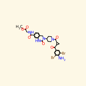 COC(=O)CNC(=O)c1ccc2c(c1)NC(=O)N(C1CCN(C(=O)C3CC3C(=O)c3cc(Br)c(N)c(Br)c3)CC1)C2